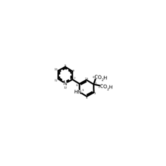 O=C(O)C1(C(=O)O)C=CNC(c2ccccn2)=C1